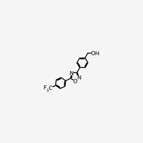 OCc1ccc(-c2noc(-c3ccc(C(F)(F)F)cc3)n2)cc1